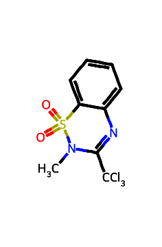 CN1C(C(Cl)(Cl)Cl)=Nc2ccccc2S1(=O)=O